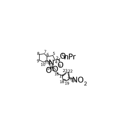 CCCOC(=O)C1CC2CCCCC2N1C(=O)OCc1ccc([N+](=O)[O-])cc1